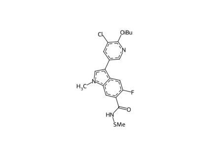 CSNC(=O)c1cc2c(cc1F)c(-c1cnc(OCC(C)C)c(Cl)c1)cn2C